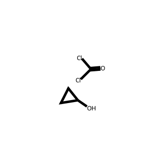 O=C(Cl)Cl.OC1CC1